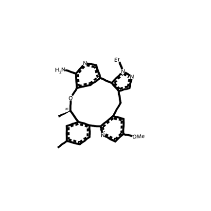 CCn1ncc2c1-c1cnc(N)c(c1)O[C@H](C)c1cc(C)ccc1-c1ncc(OC)cc1C2